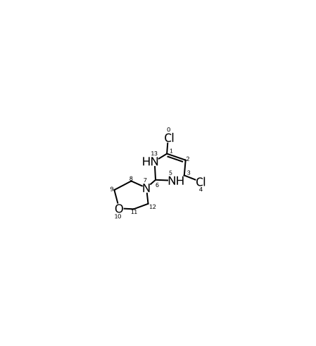 ClC1=CC(Cl)NC(N2CCOCC2)N1